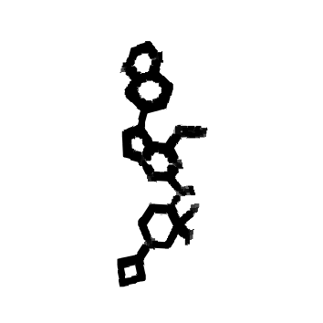 COc1nc(N[C@H]2CCN(C3CCC3)CC2(F)F)nn2ccc(-c3ccc4nccnc4c3)c12